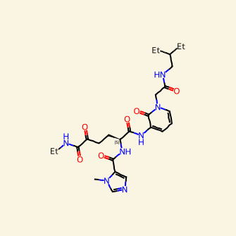 CCNC(=O)C(=O)CC[C@H](NC(=O)c1cncn1C)C(=O)Nc1cccn(CC(=O)NCC(CC)CC)c1=O